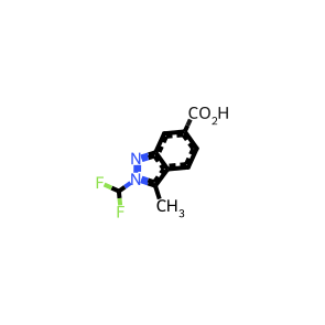 Cc1c2ccc(C(=O)O)cc2nn1C(F)F